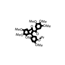 COc1ccc(C2=C(C(=O)c3cc(OC)c(OC)c(OC)c3)C(=O)c3cc(OC)c(OC)c(OC)c32)cc1OC(C)C